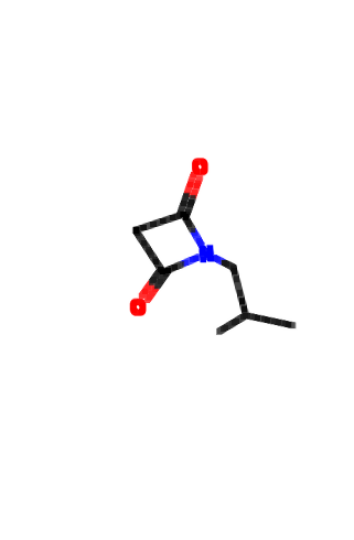 CC(C)CN1C(=O)CC1=O